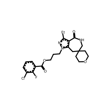 CCc1nn(CCCOC(=O)c2cccc(Cl)c2F)c2c1C(=O)NCC1(CCOCC1)C2